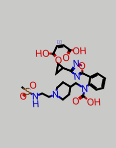 CS(=O)(=O)NCCN1CCC(CN(C(=O)O)c2ccccc2-c2nc(C3CC3)no2)CC1.O=C(O)/C=C\C(=O)O